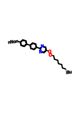 CCCCCCCCCc1ccc(-c2ccc(-c3ncc(OOCCCCCCC[C@@H](C)CC)cn3)cc2)cc1